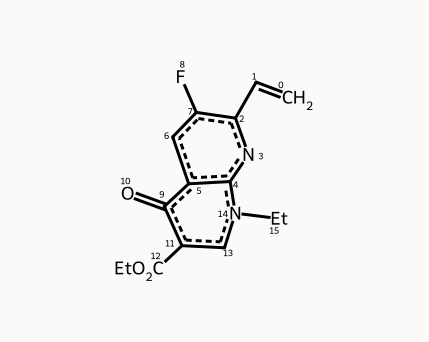 C=Cc1nc2c(cc1F)c(=O)c(C(=O)OCC)cn2CC